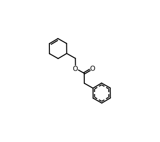 O=C(Cc1ccccc1)OCC1CC=CCC1